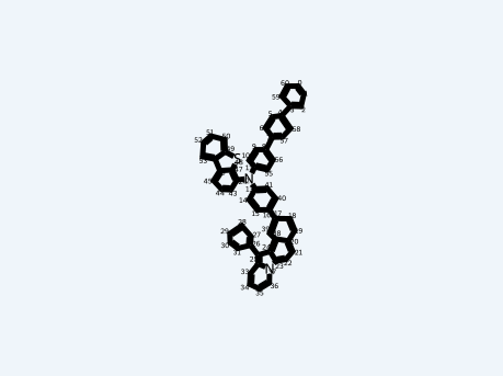 c1ccc(-c2ccc(-c3ccc(N(c4ccc(-c5ccc6ccc7c(c(-c8ccccc8)c8ccccn87)c6c5)cc4)c4cccc5c4sc4ccccc45)cc3)cc2)cc1